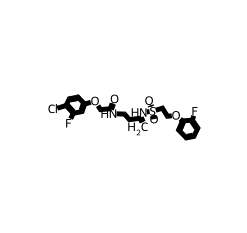 C=C(CCNC(=O)COc1ccc(Cl)c(F)c1)NS(=O)(=O)CCOc1ccccc1F